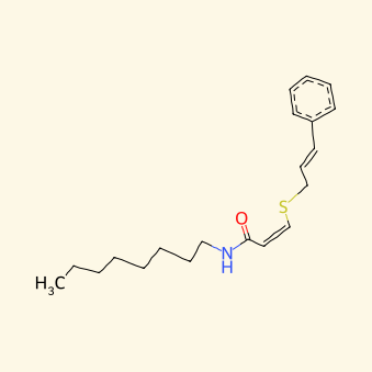 CCCCCCCCNC(=O)/C=C\SC/C=C/c1ccccc1